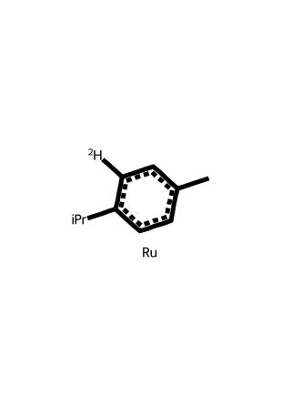 [2H]c1cc(C)ccc1C(C)C.[Ru]